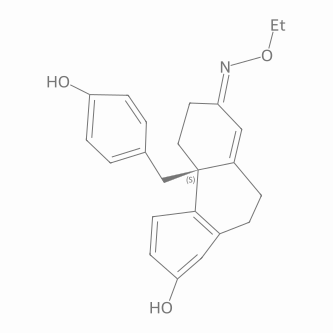 CCON=C1C=C2CCc3cc(O)ccc3[C@]2(Cc2ccc(O)cc2)CC1